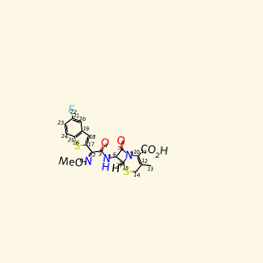 CO/N=C(/C(=O)NC1C(=O)N2C(C(=O)O)=C(C)CS[C@H]12)c1cc2cc(F)ccc2s1